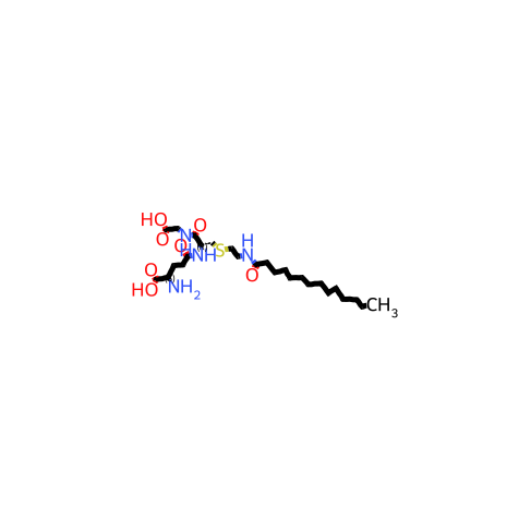 CCCCCCCCCCCCCC(=O)NCCSC[C@H](NC(=O)CC[C@H](N)C(=O)O)C(=O)NCC(=O)O